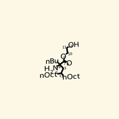 CCCCCCCCC(CCCCCCCC)CC(N)(CCCC)C(=O)OCCO